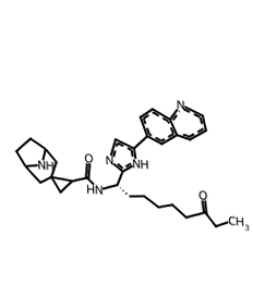 CCC(=O)CCCCC[C@H](NC(=O)C1CC12CC1CCC(C2)N1)c1ncc(-c2ccc3ncccc3c2)[nH]1